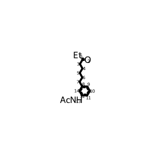 CCC(=O)CCCCCc1cccc(NC(C)=O)c1